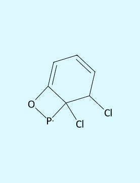 ClC1C=CC=C2O[P]C21Cl